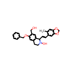 Cc1cc2c(cc1/C=C/C1c3cc(CO)c(OCc4ccccc4)cc3CCN1O)OCO2